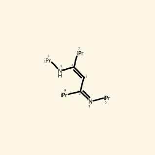 CC(C)N=C(C=C(NC(C)C)C(C)C)C(C)C